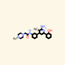 CC(=O)N1CCN(CC(=O)Nc2cccc(-c3cc(-c4ccccc4O)nc(N)c3C#N)c2)CC1